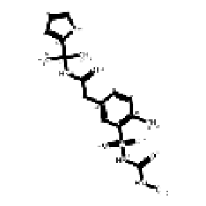 CNC(=O)NS(=O)(=O)c1cc(CC(=O)NC(C)(C)c2cccs2)ccc1C